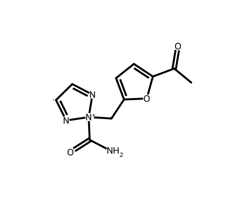 CC(=O)c1ccc(C[N+]2(C(N)=O)N=[C]C=N2)o1